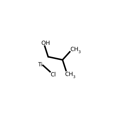 CC(C)CO.[Cl][Ti]